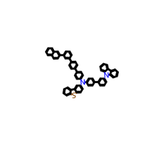 c1cc(-c2ccc(-c3ccc(N(c4ccc(-c5cccc(-n6c7ccccc7c7ccccc76)c5)cc4)c4ccc5sc6ccccc6c5c4)cc3)cc2)cc(-c2ccc3ccccc3c2)c1